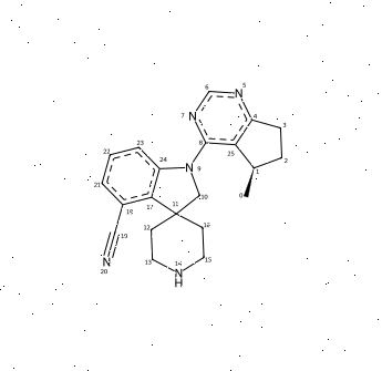 C[C@@H]1CCc2ncnc(N3CC4(CCNCC4)c4c(C#N)cccc43)c21